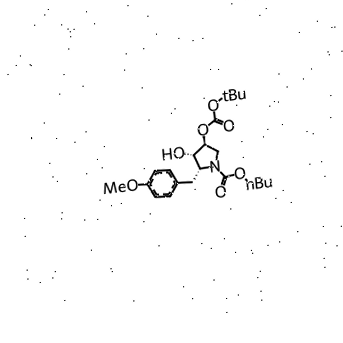 CCCCOC(=O)N1C[C@H](OC(=O)OC(C)(C)C)[C@@H](O)[C@H]1Cc1ccc(OC)cc1